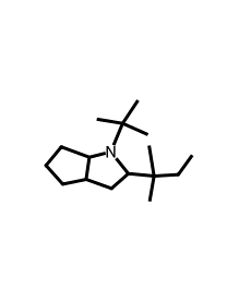 CCC(C)(C)C1CC2CCCC2N1C(C)(C)C